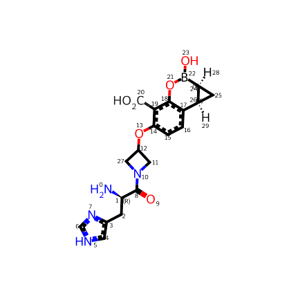 N[C@H](Cc1c[nH]cn1)C(=O)N1CC(Oc2ccc3c(c2C(=O)O)OB(O)[C@H]2C[C@@H]32)C1